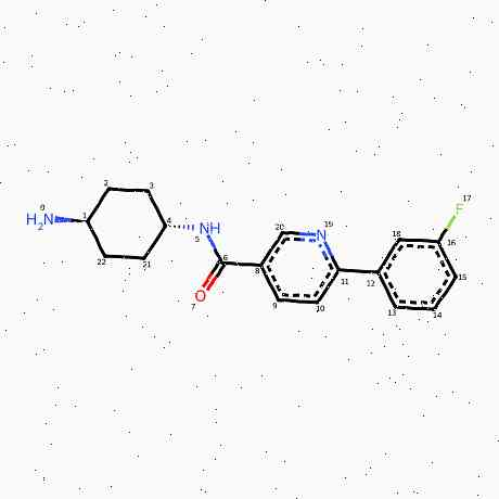 N[C@H]1CC[C@H](NC(=O)c2ccc(-c3cccc(F)c3)nc2)CC1